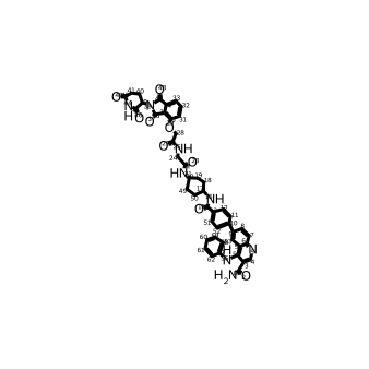 NC(=O)c1cnc2ccc(-c3ccc(C(=O)NC4CCC(NC(=O)CNC(=O)COc5cccc6c5C(=O)N(C5CCC(=O)NC5=O)C6=O)CC4)cc3)cc2c1Nc1ccccc1